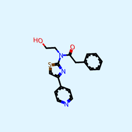 O=C(Cc1ccccc1)N(CCO)c1nc(-c2ccncc2)cs1